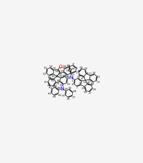 c1ccc(N(c2ccc3c(c2)C2(c4ccccc4-c4ccccc42)c2ccccc2-3)c2cc(N(c3ccccc3)c3ccccc3)c3c(c2)C2(c4ccccc4-c4oc5ccccc5c42)c2ccccc2-3)cc1